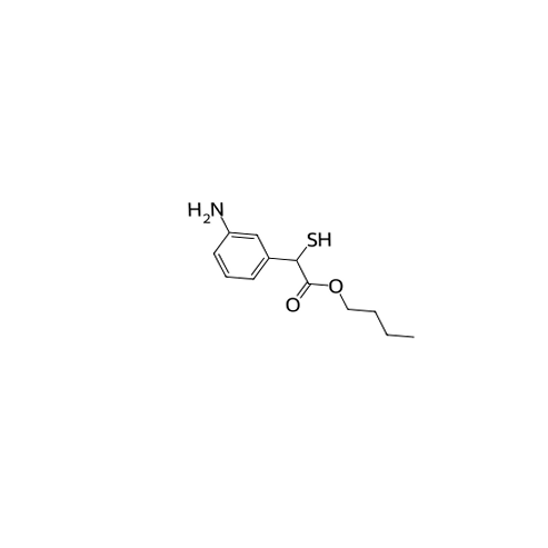 CCCCOC(=O)C(S)c1cccc(N)c1